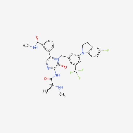 CNC(=O)c1cccc(-c2cnc(NC(=O)[C@H](C)NC)c(=O)n2Cc2cc(N3CCc4cc(F)ccc43)cc(C(F)(F)F)c2)c1